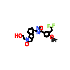 CC(C)Oc1ccc(-c2nc(-c3cccc4c3CC3CC(=O)N(CCO)C43)no2)cc1CC(F)F